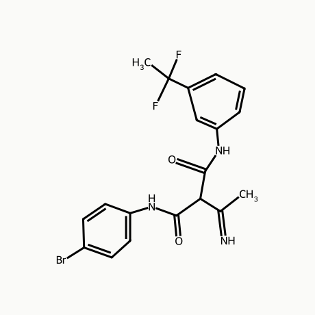 CC(=N)C(C(=O)Nc1ccc(Br)cc1)C(=O)Nc1cccc(C(C)(F)F)c1